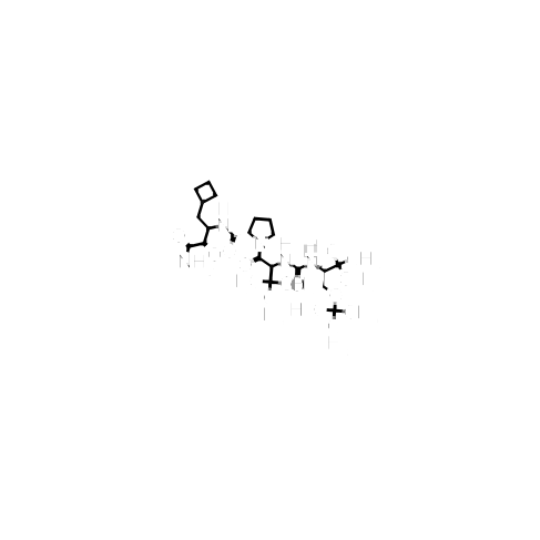 CC(C)(C)OC[C@@H](NC(=O)NC(C(=O)N1CCC[C@H]1C(=O)NC(CC1CCC1)C(=O)C(N)=O)C(C)(C)C)C(C)(C)C